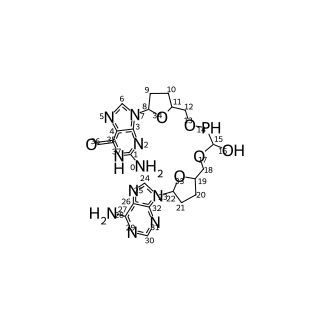 Nc1nc2c(ncn2C2CCC(COPC(O)OCC3CCC(n4cnc5c(N)ncnc54)O3)O2)c(=O)[nH]1